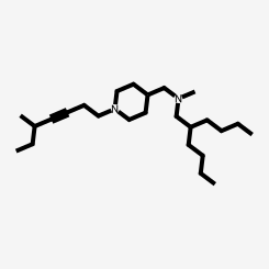 CCCCC(CCCC)CN(C)CC1CCN(CCC#CC(C)CC)CC1